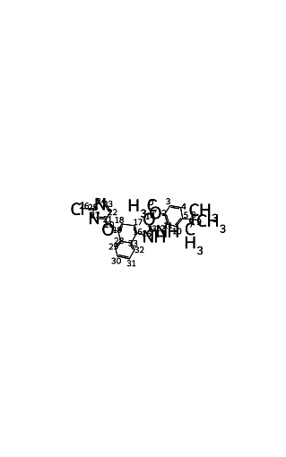 COc1ccc(C(C)(C)C)cc1NC(=O)Nc1ccc(Oc2ccnc(Cl)n2)c2ccccc12